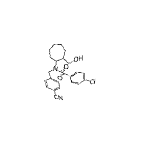 N#Cc1ccc(CN(C2CCCCCC2CO)S(=O)(=O)c2ccc(Cl)cc2)cc1